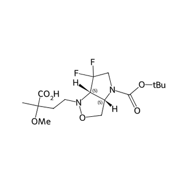 COC(C)(CCN1OC[C@@H]2[C@H]1C(F)(F)CN2C(=O)OC(C)(C)C)C(=O)O